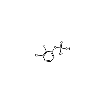 O=P(O)(O)Oc1cccc(Cl)c1Br